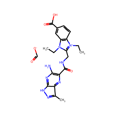 CCn1c(CNC(=O)c2nc3c(C)n[nH]c3nc2N)[n+](CC)c2ccc(C(=O)O)cc21.O=C[O-]